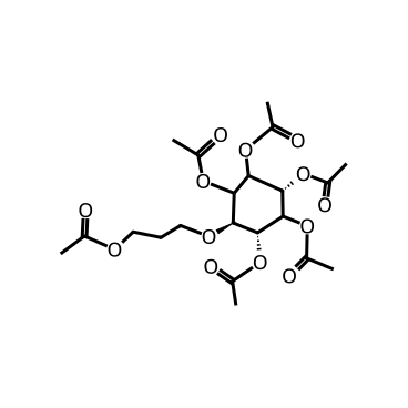 CC(=O)OCCCO[C@H]1C(OC(C)=O)C(OC(C)=O)[C@H](OC(C)=O)C(OC(C)=O)[C@@H]1OC(C)=O